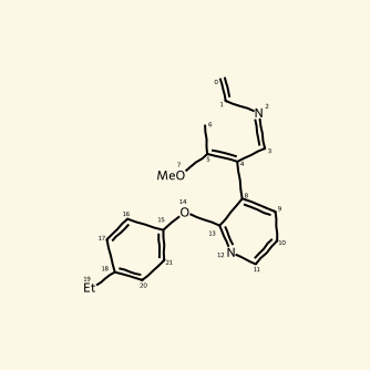 C=C/N=C\C(=C(/C)OC)c1cccnc1Oc1ccc(CC)cc1